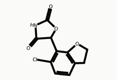 O=C1NC(=O)C(c2c(Cl)ccc3c2OCC3)O1